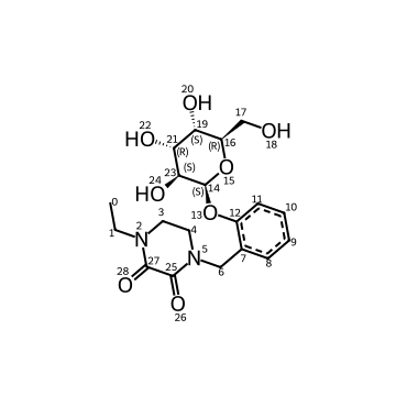 CCN1CCN(Cc2ccccc2O[C@@H]2O[C@H](CO)[C@@H](O)[C@@H](O)[C@@H]2O)C(=O)C1=O